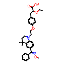 CCOC(Cc1ccc(OCCN2CCC(C)(C)c3cc(C(=NOC)c4ccccc4)ccc32)cc1)C(=O)O